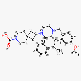 COc1ccc(CN2CCN(C3CC4(CCN(C(=O)O)CC4)C3)[C@H](c3ccccc3C(C)C)C2)cc1